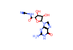 N#CNC(=O)[C@H]1O[C@@H](n2cnc3c(=O)[nH]c(N)nc32)[C@H](O)[C@@H]1O